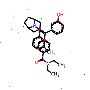 CCN(CC)C(=O)c1ccc(C(=C2CC3CCC(C2)N3Cc2cccc(C)c2)c2cccc(O)c2)cc1